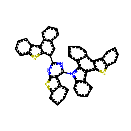 c1ccc2c(c1)cc(-c1nc(-n3c4ccccc4c4c5sc6ccccc6c5c5ccccc5c43)c3c(n1)sc1ccccc13)c1sc3ccccc3c12